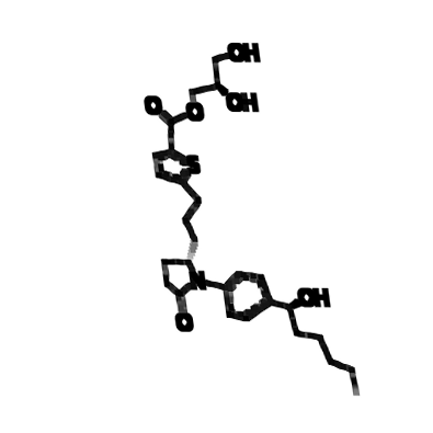 CCCCC[C@H](O)c1ccc(N2C(=O)CC[C@@H]2CCCc2ccc(C(=O)OC[C@H](O)CO)s2)cc1